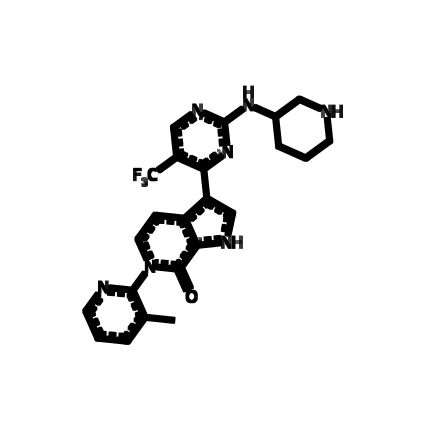 Cc1cccnc1-n1ccc2c(-c3nc(NC4CCCNC4)ncc3C(F)(F)F)c[nH]c2c1=O